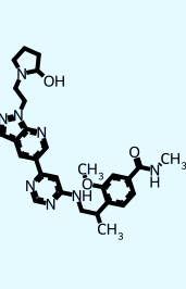 CNC(=O)c1ccc(C(C)CNc2cc(-c3cnc4c(cnn4CCN4CCCC4O)c3)ncn2)c(OC)c1